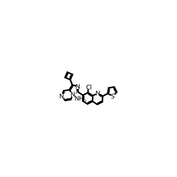 N[N+]12C=CN=CC1=C(C1=CC=C1)N=C2c1ccc2ccc(-c3cccs3)nc2c1Cl